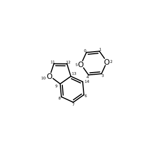 C1=COC=CO1.c1ccc2occc2c1